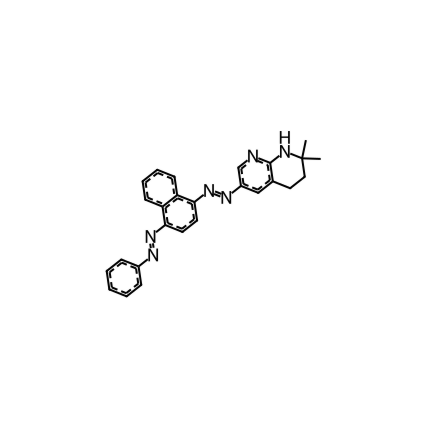 CC1(C)CCc2cc(N=Nc3ccc(N=Nc4ccccc4)c4ccccc34)cnc2N1